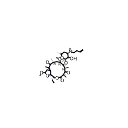 C=CCCN(C)[C@H]1C[C@@H](C)O[C@@H](O[C@@H]2[C@@H](C)C(=O)[C@@H](C)C(=O)O[C@H](CC)[C@@]3(C)OC(OC)C/C3=C(/C)C(=O)[C@H](C)C[C@@]2(C)OC)[C@@H]1O